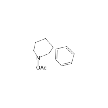 CC(=O)ON1CCCCC1.c1ccccc1